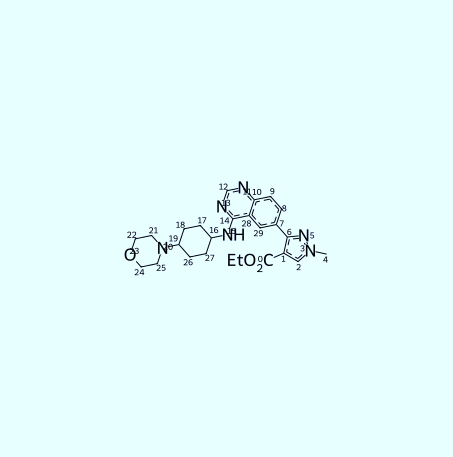 CCOC(=O)c1cn(C)nc1-c1ccc2ncnc(NC3CCC(N4CCOCC4)CC3)c2c1